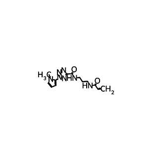 C=CC(=O)NCCCNC(=O)c1nnn(-c2cccn2C)n1